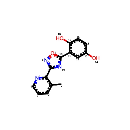 Cc1cccnc1-c1noc(-c2cc(O)ccc2O)n1